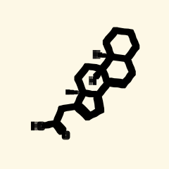 C[C@]12CC[C@H]3C(=CCC4CCCC[C@@H]43)C1=CC=C2CC(=O)O